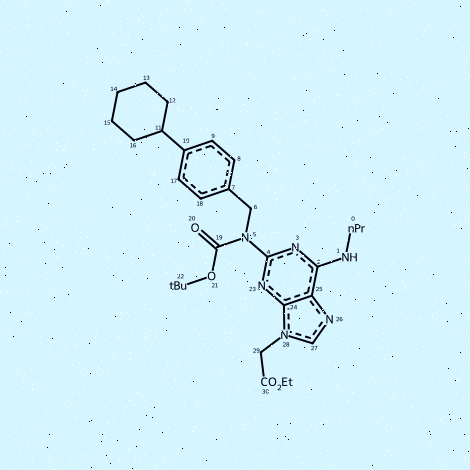 CCCNc1nc(N(Cc2ccc(C3CCCCC3)cc2)C(=O)OC(C)(C)C)nc2c1ncn2CC(=O)OCC